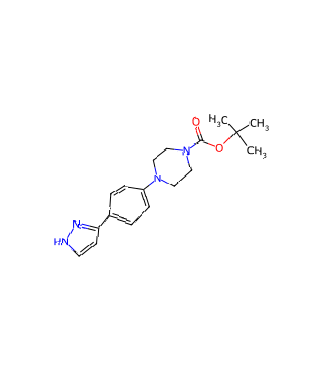 CC(C)(C)OC(=O)N1CCN(c2ccc(-c3cc[nH]n3)cc2)CC1